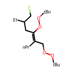 CCC/C(COOC(C)(C)C)=C(\CC(CC)CF)OOC(C)(C)C